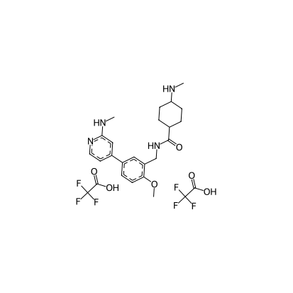 CNc1cc(-c2ccc(OC)c(CNC(=O)C3CCC(NC)CC3)c2)ccn1.O=C(O)C(F)(F)F.O=C(O)C(F)(F)F